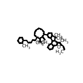 C/C=C\c1oc2c(c1C)c1c(c3ccccc32)-c2cc(-c3ccccccc(/C(C)=C/C=C\Cc4ccccc4C)c(=C/C)/c3=C\C)ccc2C1(C)C